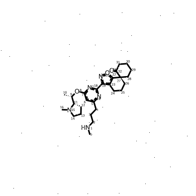 CNCCCc1cc(O[C@@H](C)[C@@H]2CCCN2C)nc(-c2noc3c2CCC[C@@]32CCCCC2=O)n1